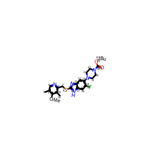 COc1c(C)cnc(CSc2nc3cc(N4CCN(C(=O)OC(C)(C)C)CC4)c(F)cc3[nH]2)c1C